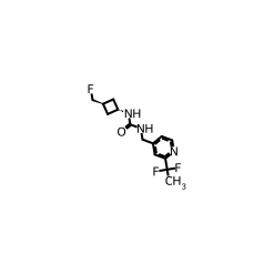 CC(F)(F)c1cc(CNC(=O)N[C@H]2C[C@H](CF)C2)ccn1